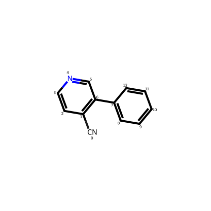 N#Cc1ccncc1-c1ccccc1